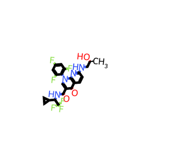 C[C@H](O)CNc1ccc2c(=O)c(C(=O)NC(C3CC3)C(F)(F)F)cn(-c3c(F)cc(F)cc3F)c2n1